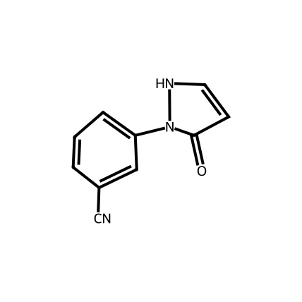 N#Cc1cccc(-n2[nH]ccc2=O)c1